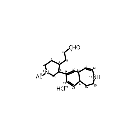 CC(=O)N1CCC(CCC=O)C(C2=CC3C=CNCCC3C=C2)C1.Cl